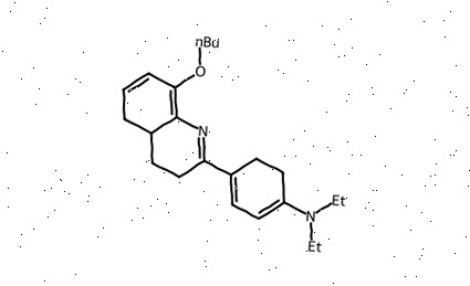 CCCCOC1=C2N=C(C3=CC=C(N(CC)CC)CC3)CCC2CC=C1